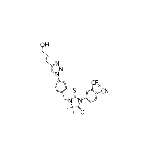 CC1(C)C(=O)N(c2ccc(C#N)c(C(F)(F)F)c2)C(=S)N1Cc1ccc(-n2cc(CSCO)nn2)cc1